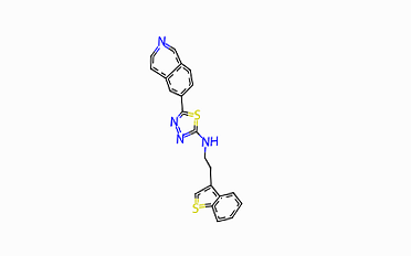 c1ccc2c(CCNc3nnc(-c4ccc5cnccc5c4)s3)csc2c1